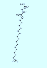 CCCCCCCCCCCCCCCCOC(=S)NCC(=O)O